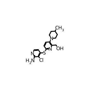 CC1CCN(c2ccc(Sc3ccnc(N)c3Cl)nc2CO)CC1